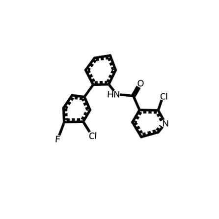 O=C(Nc1ccccc1-c1ccc(F)c(Cl)c1)c1cccnc1Cl